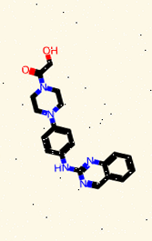 O=C(CO)N1CCN(c2ccc(Nc3ncc4ccccc4n3)cc2)CC1